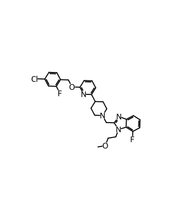 COCCn1c(CN2CCC(c3cccc(OCc4ccc(Cl)cc4F)n3)CC2)nc2cccc(F)c21